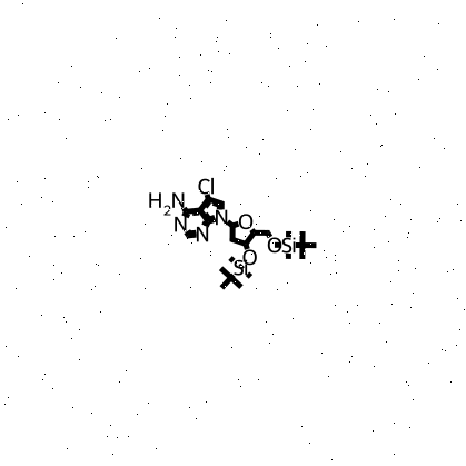 CC(C)(C)[Si](C)(C)OCC1OC(n2cc(Cl)c3c(N)ncnc32)CC1O[Si](C)(C)C(C)(C)C